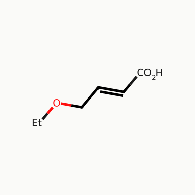 CCOC/C=C/C(=O)O